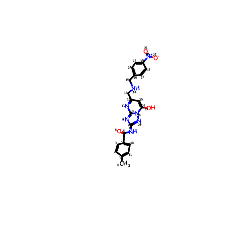 Cc1ccc(C(=O)Nc2nc3nc(CNCc4ccc([N+](=O)[O-])cc4)cc(O)n3n2)cc1